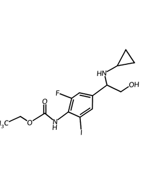 CCOC(=O)Nc1c(F)cc(C(CO)NC2CC2)cc1I